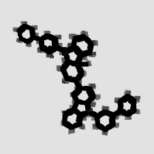 CC12CC(C3=CC4C5=CCCC=C5N(C5CCC=C(c6ccccc6)C5)C4C=C3)=CCC1N(c1ccc(C3=CC=CCC3)cc1)C1=C2CCC=C1